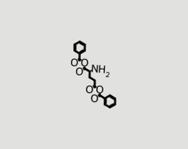 N[C@@H](CCC(=O)OC(=O)c1ccccc1)C(=O)OC(=O)c1ccccc1